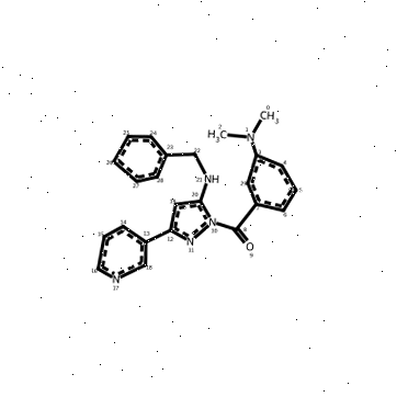 CN(C)c1cccc(C(=O)n2nc(-c3cccnc3)cc2NCc2ccccc2)c1